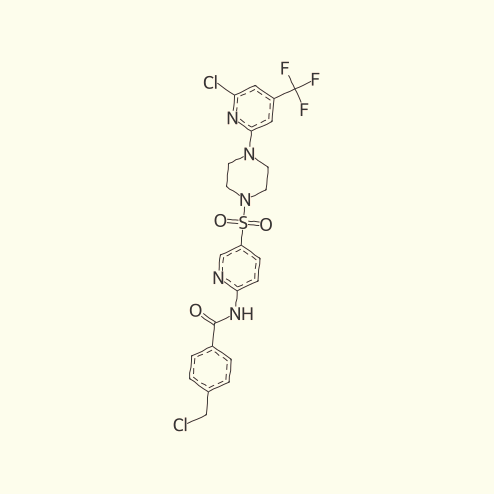 O=C(Nc1ccc(S(=O)(=O)N2CCN(c3cc(C(F)(F)F)cc(Cl)n3)CC2)cn1)c1ccc(CCl)cc1